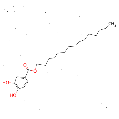 CCCCCCCCCCCCCCCOC(=O)c1ccc(O)c(O)c1